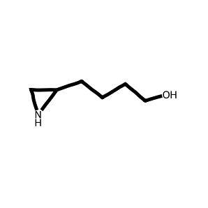 OCCCCC1CN1